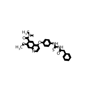 COc1cc2nccc(Oc3ccc(NC(=S)NC(=O)Cc4ccccc4)cc3)c2cc1C(=O)N(C)I